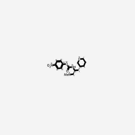 CNC[C@H](C[C@H]1CCCOC1)NC(=O)Oc1ccc([N+](=O)[O-])cc1